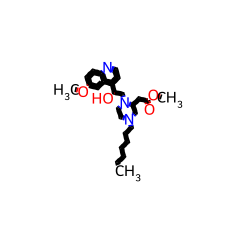 CCCCCCCN1CCN(C[C@@H](O)c2ccnc3ccc(OC)cc23)C(CC(=O)OC)C1